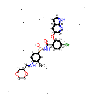 O=C(N[S+]([O-])c1ccc(NC[C@@H]2COCCO2)c([N+](=O)[O-])c1)c1ccc(Br)cc1Oc1cnc2[nH]ccc2c1